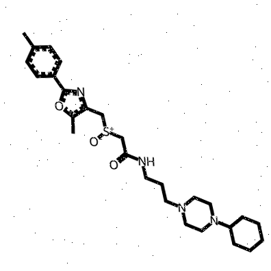 Cc1ccc(-c2nc(C[S+]([O-])CC(=O)NCCCN3CCN(C4CCCCC4)CC3)c(C)o2)cc1